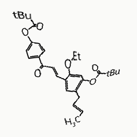 CC=CCc1cc(C=CC(=O)c2ccc(OC(=O)C(C)(C)C)cc2)c(OCC)cc1OC(=O)C(C)(C)C